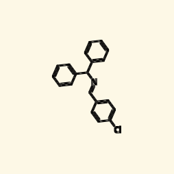 Clc1ccc(C=NC(c2ccccc2)c2ccccc2)cc1